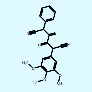 COc1cc(C(C#N)C(=O)C(=O)C(C#N)c2ccccc2)cc(OC)c1OC